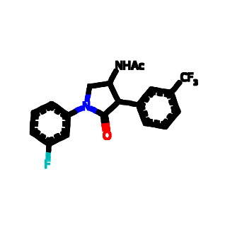 CC(=O)NC1CN(c2cccc(F)c2)C(=O)C1c1cccc(C(F)(F)F)c1